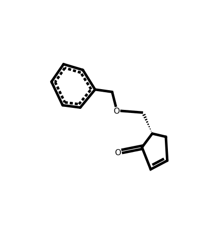 O=C1C=CC[C@H]1COCc1ccccc1